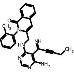 CCC#CC(=N)c1c(N)ncnc1NCc1cc2ccccc2c(=O)n1-c1ccccc1C